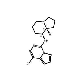 Clc1nnc(N[C@H]2CCCN3CCC[C@H]23)n2nccc12